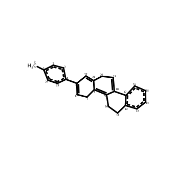 Cc1ccc(C2=CCC3=C4CCc5ccccc5C4=CCC3=C2)cc1